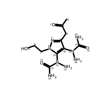 CC(=O)Cc1nn(CCO)c(N(N)C(N)=O)c1N(N)C(N)=O